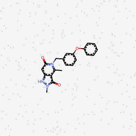 Cc1c2c(=O)n(C)[nH]c2cc(=O)n1Cc1cccc(Oc2ccccc2)c1